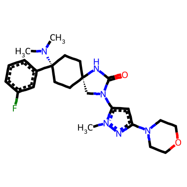 Cn1nc(N2CCOCC2)cc1N1C[C@]2(CC[C@@](c3cccc(F)c3)(N(C)C)CC2)NC1=O